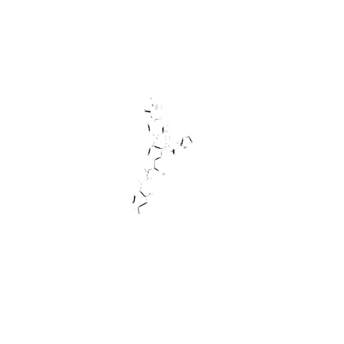 CCNC(=O)N1C=CN(c2ccc(C(=O)NCCc3ccc(Cl)cc3Cl)cc2NC(=O)c2ccco2)C=CC1